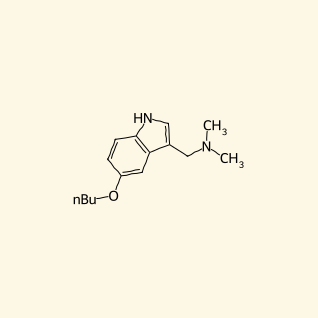 CCCCOc1ccc2[nH]cc(CN(C)C)c2c1